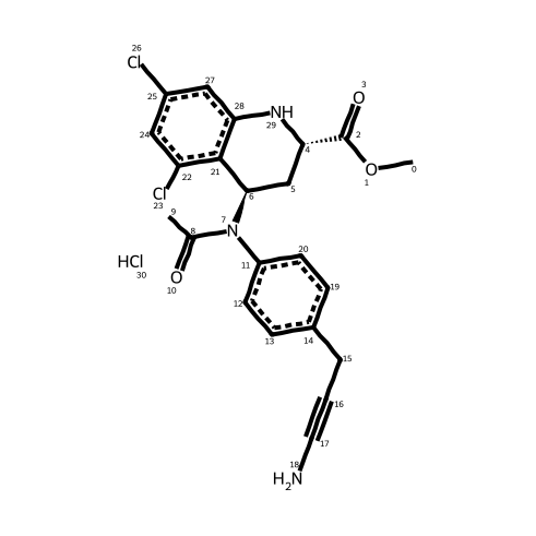 COC(=O)[C@@H]1C[C@@H](N(C(C)=O)c2ccc(CC#CN)cc2)c2c(Cl)cc(Cl)cc2N1.Cl